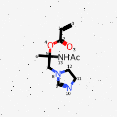 C=CC(=O)OC(C)(CN1C=NCC1)NC(C)=O